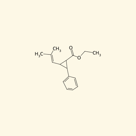 CCOC(=O)C1C(C=C(C)C)C1c1ccccc1